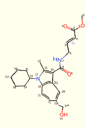 COC(=O)/C=C/CNC(=O)c1c(C)n(C2CCCCC2)c2ccc(CO)cc12